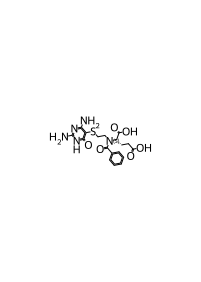 Nc1nc(N)c(SCCN(C(=O)c2ccccc2)[C@@H](CCC(=O)O)C(=O)O)c(=O)[nH]1